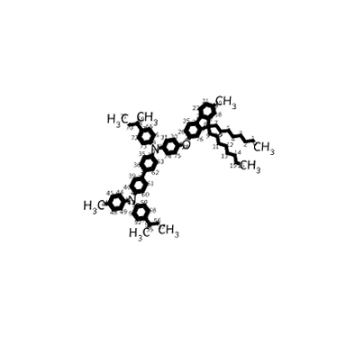 CCCCCCCCC1(CCCCCCCC)c2cc(C)ccc2-c2ccc(Oc3ccc(N(c4ccc(-c5ccc(N(c6ccc(C)cc6)c6ccc(C(C)CC)cc6)cc5)cc4)c4ccc(C(C)CC)cc4)cc3)cc21